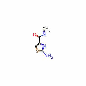 C=NC(=O)c1csc(N)n1